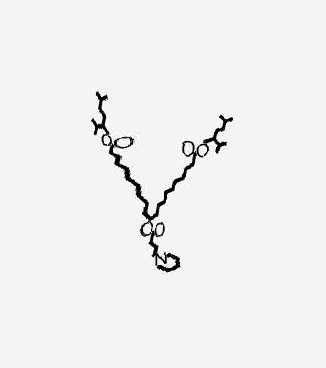 CC(C)CCC(COC(=O)CCCCCCCCCC(CCCCCCCCCC(=O)OCC(CCC(C)C)C(C)C)OC(=O)CCCN1CCCCC1)C(C)C